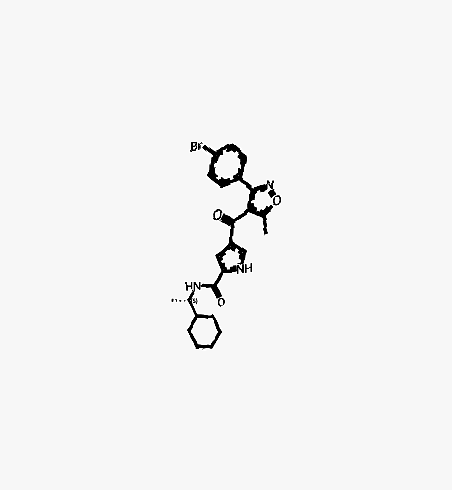 Cc1onc(-c2ccc(Br)cc2)c1C(=O)c1c[nH]c(C(=O)N[C@@H](C)C2CCCCC2)c1